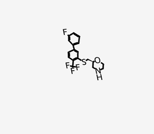 Fc1cccc(-c2ccc(C(F)(F)F)c(SC[C@@H]3CNCCO3)c2)c1